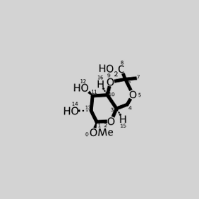 CO[C@@H]1O[C@@H]2COC(C)(C(=O)O)O[C@@H]2[C@H](O)[C@H]1O